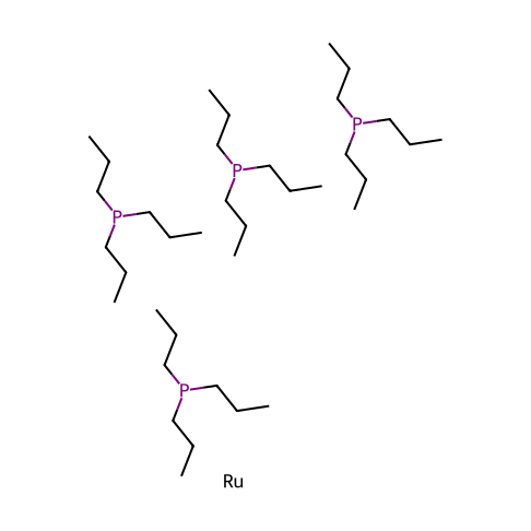 CCCP(CCC)CCC.CCCP(CCC)CCC.CCCP(CCC)CCC.CCCP(CCC)CCC.[Ru]